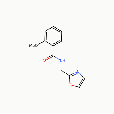 COc1ccccc1C(=O)NCc1ncco1